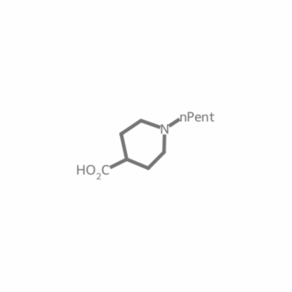 CCCCCN1CCC(C(=O)O)CC1